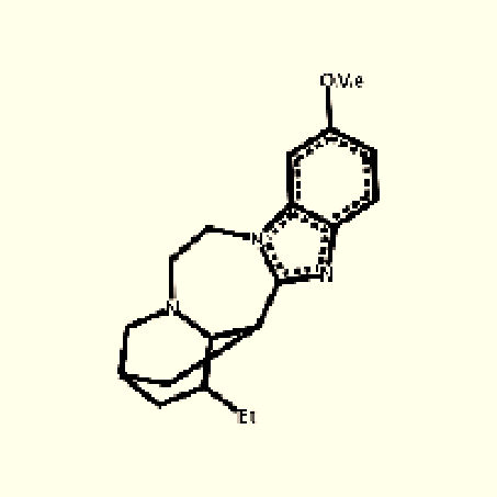 CCC1CC2CC3c4nc5ccc(OC)cc5n4CCN(C2)C13